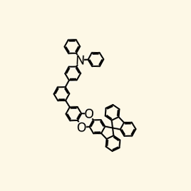 c1ccc(N(c2ccccc2)c2ccc(-c3cccc(-c4ccc5c(c4)Oc4cc6c(cc4O5)-c4ccccc4C64c5ccccc5-c5ccccc54)c3)cc2)cc1